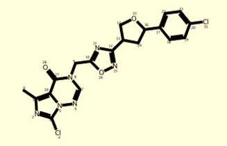 Cc1nc(Cl)n2ncn(Cc3nc(C4COC(c5ccc(Cl)cc5)C4)no3)c(=O)c12